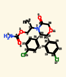 CCCC(COC(N)=O)N1C(=O)CO[C@H](c2ccc(Cl)cc2)[C@@H]1c1ccc(Cl)cc1